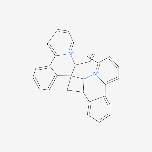 C=CC1[n+]2ccccc2-c2ccccc2C12CC1c3ccccc3-c3cccc(C)[n+]3C12